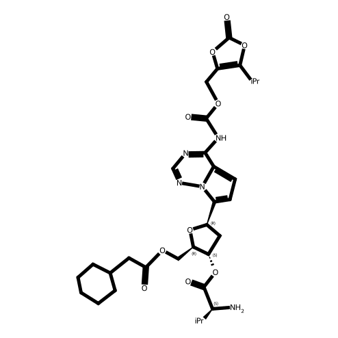 CC(C)c1oc(=O)oc1COC(=O)Nc1ncnn2c([C@H]3C[C@H](OC(=O)[C@@H](N)C(C)C)[C@@H](COC(=O)CC4CCCCC4)O3)ccc12